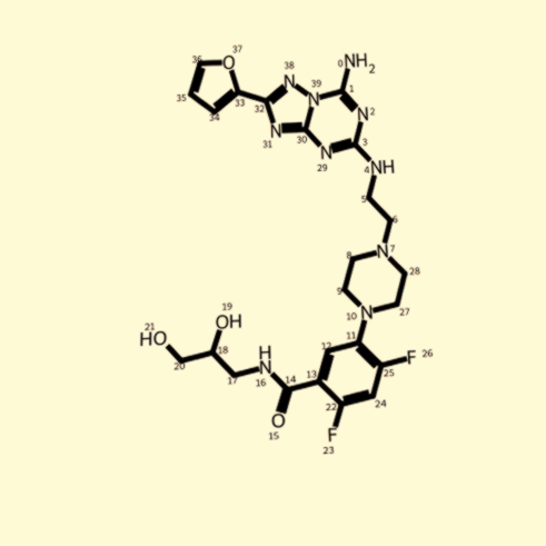 Nc1nc(NCCN2CCN(c3cc(C(=O)NCC(O)CO)c(F)cc3F)CC2)nc2nc(-c3ccco3)nn12